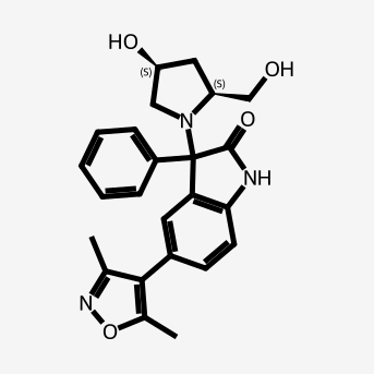 Cc1noc(C)c1-c1ccc2c(c1)C(c1ccccc1)(N1C[C@@H](O)C[C@H]1CO)C(=O)N2